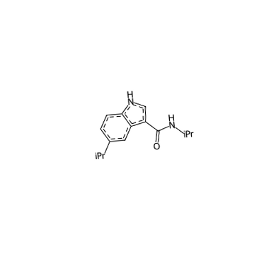 CC(C)NC(=O)c1c[nH]c2ccc(C(C)C)cc12